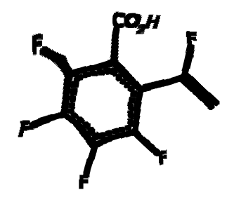 C=C(F)c1c(F)c(F)c(F)c(F)c1C(=O)O